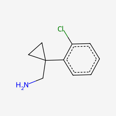 NCC1(c2ccccc2Cl)CC1